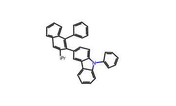 CC(C)c1cc2ccccc2c(-c2ccccc2)c1-c1ccc2c(c1)c1ccccc1n2-c1ccccc1